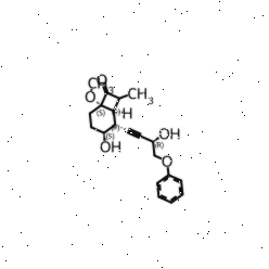 CO[C@@]12CC[C@H](O)[C@@H](C#C[C@@H](O)COc3ccccc3)[C@@H]1C(C)C2=O